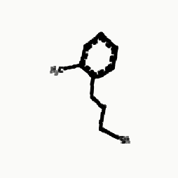 Cc1ccccc1CCCS